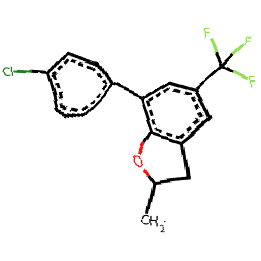 [CH2]C1Cc2cc(C(F)(F)F)cc(-c3ccc(Cl)cc3)c2O1